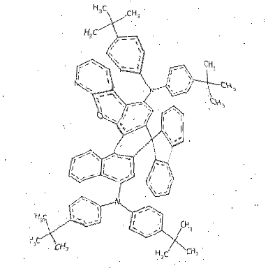 CC(C)(C)c1ccc(N(c2ccc(C(C)(C)C)cc2)c2cc3c(c4ccccc24)-c2c(cc(N(c4ccc(C(C)(C)C)cc4)c4ccc(C(C)(C)C)cc4)c4c2oc2ncccc24)C32c3ccccc3-c3ccccc32)cc1